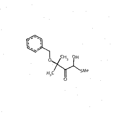 CSC(O)C(=O)C(C)(C)OCc1ccccc1